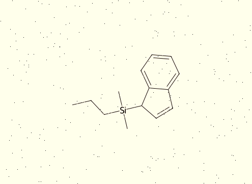 CCC[Si](C)(C)C1C=Cc2ccccc21